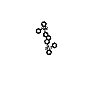 C1=C(B2Oc3ccccc3N2c2ccccc2)CCc2c1ccc1cc(B3Oc4ccccc4N3c3ccccc3)ccc21